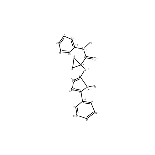 CN(C(=O)C1(Sc2nnc(-c3cccnc3)n2C)CC1)c1ccccc1